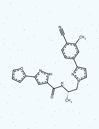 Cc1cc(-c2ccn(C[C@H](C)NC(=O)c3cc(-c4ccco4)n[nH]3)n2)ccc1C#N